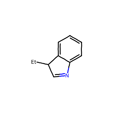 CCC1C=Nc2ccccc21